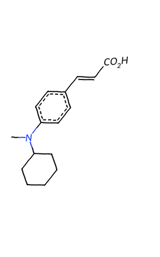 CN(c1ccc(/C=C/C(=O)O)cc1)C1CCCCC1